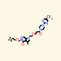 Cc1cn(CCO/C=C/C(=O)N2CCN(c3ncc(C(F)(F)F)cn3)CC2)c2cnn(COCC[Si](C)(C)C)c(=O)c12